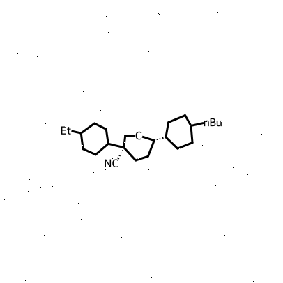 CCCCC1CCC([C@H]2CC[C@](C#N)(C3CCC(CC)CC3)CC2)CC1